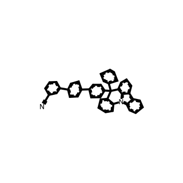 N#Cc1cccc(-c2ccc(-c3ccc(C4(c5ccccc5)c5ccccc5-n5c6ccccc6c6cccc4c65)cc3)cc2)c1